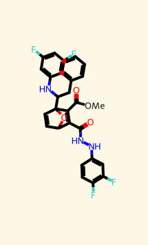 COC(=O)C1=C(C(=O)NNc2ccc(F)c(F)c2)C2C=CC1(C(Cc1ccccc1)Nc1cc(F)cc(F)c1)O2